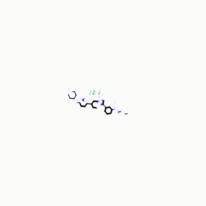 CN1CCC(Nc2ccc(-c3ccn4c(-c5cccc(NC(=O)NCC(F)(F)F)c5)cnc4c3)nn2)CC1.Cl.Cl.Cl